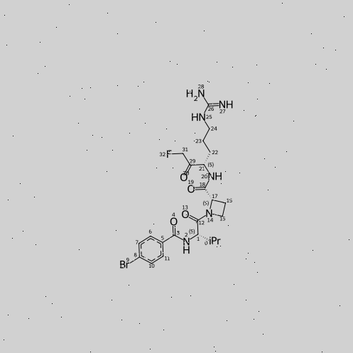 CC(C)[C@H](NC(=O)c1ccc(Br)cc1)C(=O)N1CC[C@H]1C(=O)N[C@@H](CCCNC(=N)N)C(=O)CF